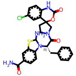 NC(=O)c1ccc2c(c1)SC(N)N2[C@@H](Cc1ccccc1)C(=O)N1CCC2(C1)OC(=O)Nc1ccc(Cl)cc12